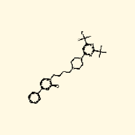 CC(C)(C)c1nc(N2CCN(CCCCn3ccc(-c4ccccc4)cc3=O)CC2)cc(C(F)(F)F)n1